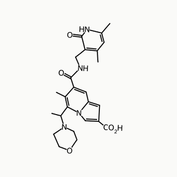 Cc1cc(C)c(CNC(=O)c2cc3cc(C(=O)O)cn3c(C(C)N3CCOCC3)c2C)c(=O)[nH]1